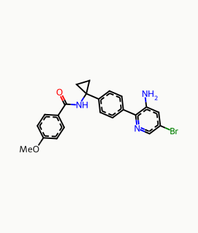 COc1ccc(C(=O)NC2(c3ccc(-c4ncc(Br)cc4N)cc3)CC2)cc1